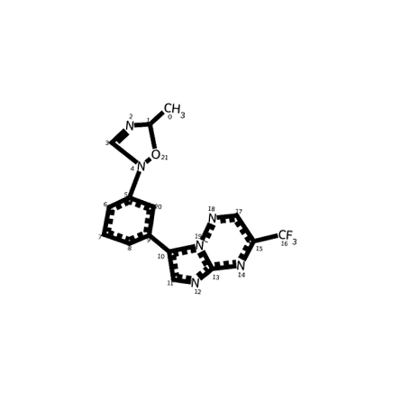 CC1N=CN(c2cccc(-c3cnc4nc(C(F)(F)F)cnn34)c2)O1